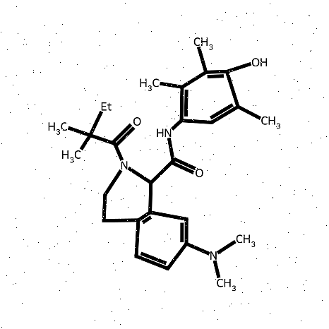 CCC(C)(C)C(=O)N1CCc2ccc(N(C)C)cc2C1C(=O)Nc1cc(C)c(O)c(C)c1C